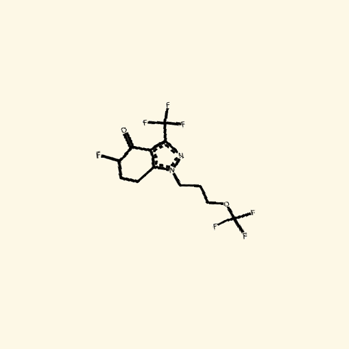 O=C1c2c(C(F)(F)F)nn(CCCOC(F)(F)F)c2CCC1F